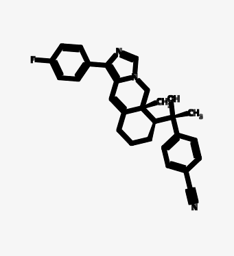 C[C@]12Cn3cnc(-c4ccc(F)cc4)c3C=C1CCC[C@@H]2[C@](C)(O)c1ccc(C#N)cc1